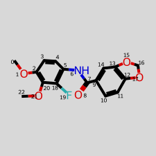 COc1ccc(NC(=O)c2ccc3c(c2)OCO3)c(F)c1OC